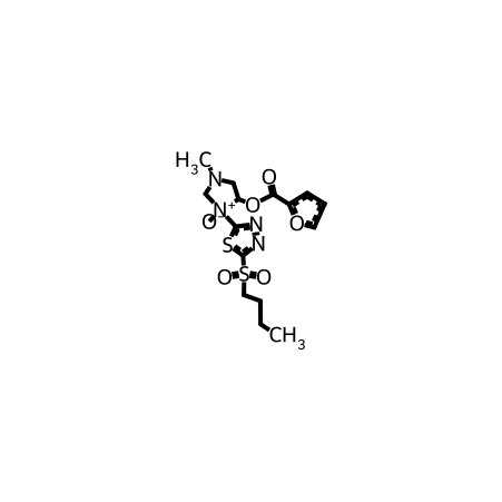 CCCCS(=O)(=O)c1nnc([N+]2([O-])CN(C)CC2OC(=O)c2ccco2)s1